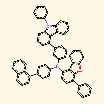 c1ccc(-c2ccc(N(c3ccc(-c4cccc5ccccc45)cc3)c3cccc(-c4cccc5c4c4ccccc4n5-c4ccccc4)c3)c3c2oc2ccccc23)cc1